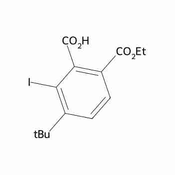 CCOC(=O)c1ccc(C(C)(C)C)c(I)c1C(=O)O